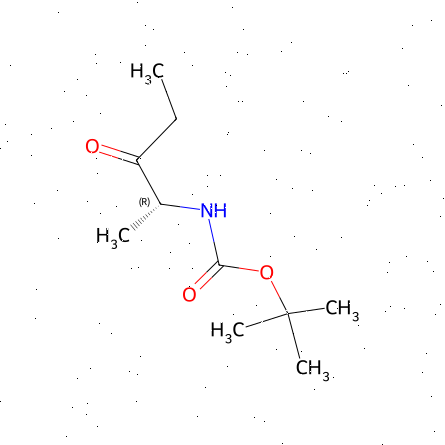 CCC(=O)[C@@H](C)NC(=O)OC(C)(C)C